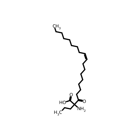 CCCCCCCC/C=C\CCCCCCCC(=O)C(N)(CCC)C(=O)O